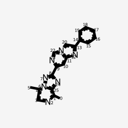 Cc1ncc(C)n2nc(-c3cc4nc(-c5ccccc5)cn4cn3)nc12